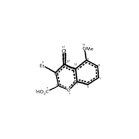 CCc1c(C(=O)O)oc2cccc(OC)c2c1=O